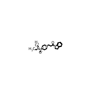 CCN(CC)[S+]([O-])N1CCN(CCC(=O)N2CCc3ccccc32)CC1